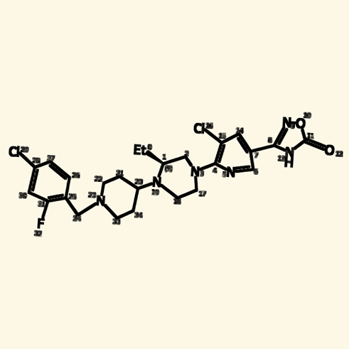 CC[C@H]1CN(c2ncc(-c3noc(=O)[nH]3)cc2Cl)CCN1C1CCN(Cc2ccc(Cl)cc2F)CC1